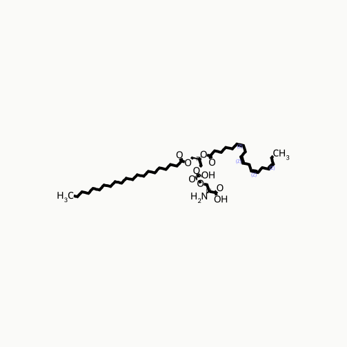 CC/C=C\C/C=C\C/C=C\C/C=C\CCCCC(=O)O[C@H](COC(=O)CCCCCCCCCCCCCCCCCCCC)COP(=O)(O)OC[C@H](N)C(=O)O